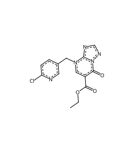 CCOC(=O)c1cn(Cc2ccc(Cl)nc2)c2ncnn2c1=O